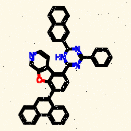 c1ccc(C2=NC(c3ccc4ccccc4c3)NC(c3ccc(-c4cc5ccccc5c5ccccc45)c4oc5cnccc5c34)=N2)cc1